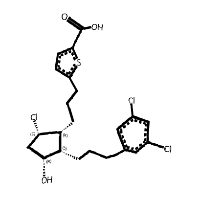 O=C(O)c1ccc(CCC[C@@H]2[C@H](CCCc3cc(Cl)cc(Cl)c3)[C@H](O)C[C@@H]2Cl)s1